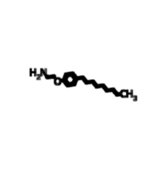 CCCCCCCCCc1ccc(OCCN)cc1